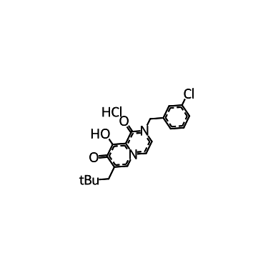 CC(C)(C)Cc1cn2ccn(Cc3cccc(Cl)c3)c(=O)c2c(O)c1=O.Cl